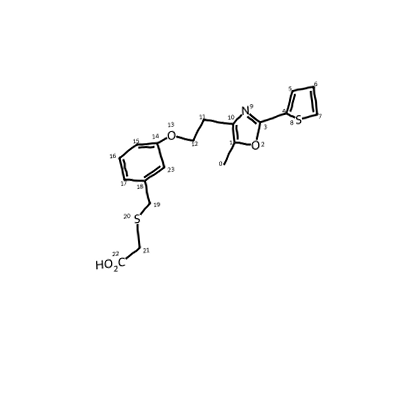 Cc1oc(-c2cccs2)nc1CCOc1cccc(CSCC(=O)O)c1